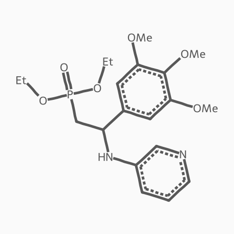 CCOP(=O)(CC(Nc1cccnc1)c1cc(OC)c(OC)c(OC)c1)OCC